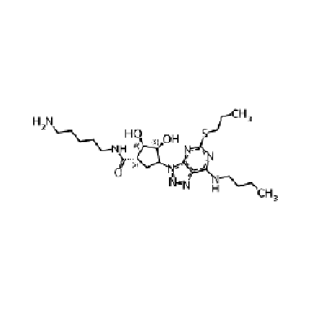 CCCCNc1nc(SCCC)nc2c1nnn2C1C[C@H](C(=O)NCCCCCN)[C@@H](O)[C@H]1O